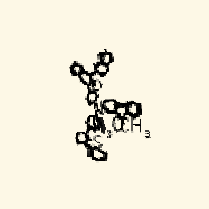 CC1(C)c2ccccc2-c2ccc(N(c3ccc(-c4cccc5c4sc4ccccc45)cc3)c3ccc4c(c3)oc3c(-c5ccc6ccccc6c5)c5ccccc5cc34)cc21